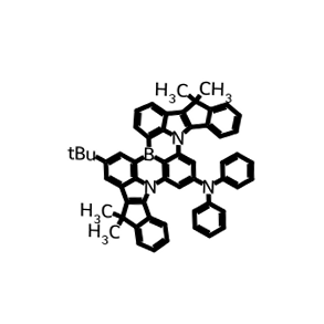 CC(C)(C)c1cc2c3c(c1)c1c(n3-c3cc(N(c4ccccc4)c4ccccc4)cc4c3B2c2cccc3c5c(n-4c23)-c2ccccc2C5(C)C)-c2ccccc2C1(C)C